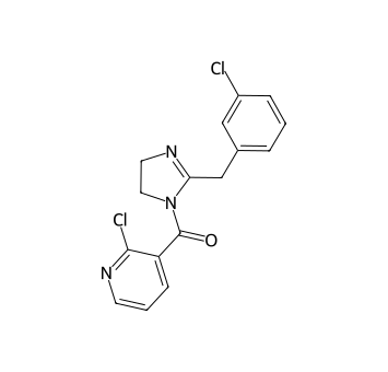 O=C(c1cccnc1Cl)N1CCN=C1Cc1cccc(Cl)c1